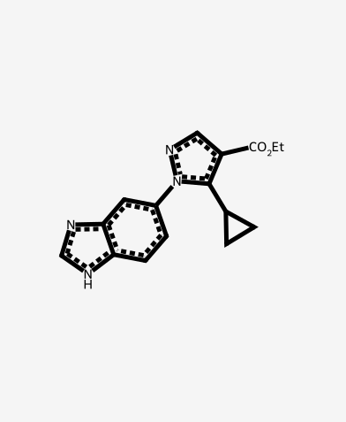 CCOC(=O)c1cnn(-c2ccc3[nH]cnc3c2)c1C1CC1